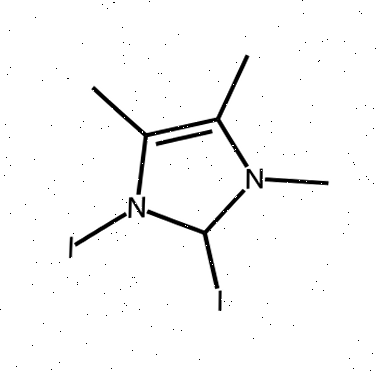 CC1=C(C)N(I)C(I)N1C